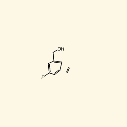 C=C.OCc1cccc(F)c1